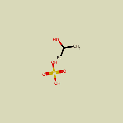 CCC(C)O.O=S(=O)(O)O